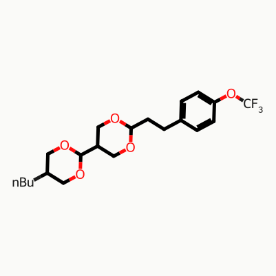 CCCCC1COC(C2COC(CCc3ccc(OC(F)(F)F)cc3)OC2)OC1